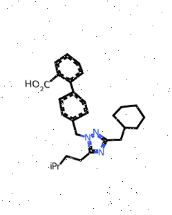 CC(C)CCc1nc(CC2CCCCC2)nn1Cc1ccc(-c2ccccc2C(=O)O)cc1